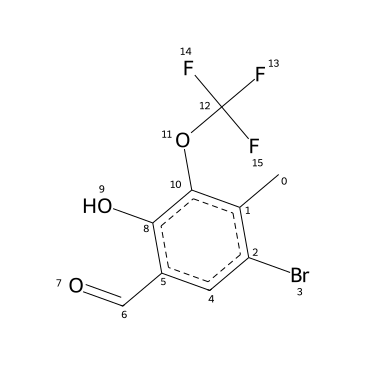 Cc1c(Br)cc(C=O)c(O)c1OC(F)(F)F